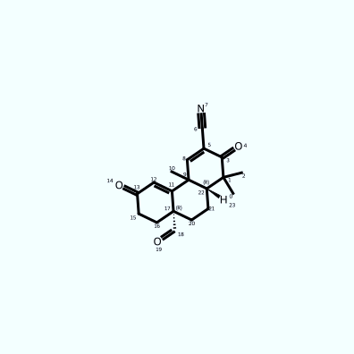 CC1(C)C(=O)C(C#N)=CC2(C)C3=CC(=O)CC[C@]3(C=O)CC[C@@H]12